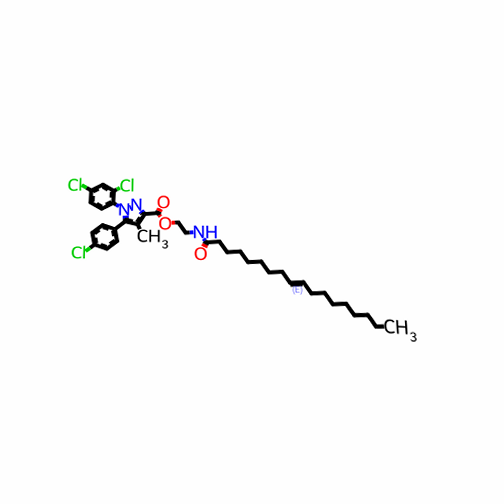 CCCCCCCC/C=C/CCCCCCCC(=O)NCCOC(=O)c1nn(-c2ccc(Cl)cc2Cl)c(-c2ccc(Cl)cc2)c1C